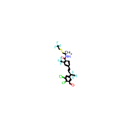 C[C@H](CSCC(F)(F)F)NC(=O)c1ccc(/C=C/C(c2cc(Cl)c(Cl)c(C=O)c2)C(F)(F)F)cc1C(F)(F)F